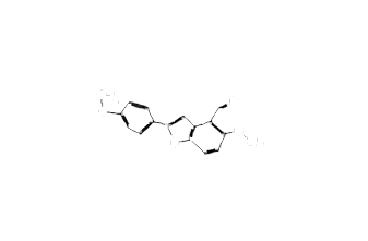 COc1ccc(-c2cc3c(C=O)c(OC)ccc3o2)cc1